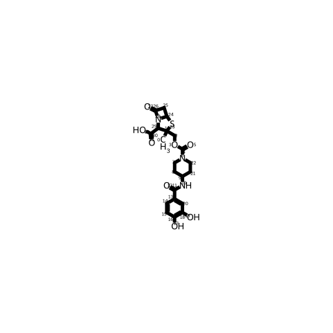 CC1(COC(=O)N2CCC(NC(=O)c3ccc(O)c(O)c3)CC2)SC2CC(=O)N2C1C(=O)O